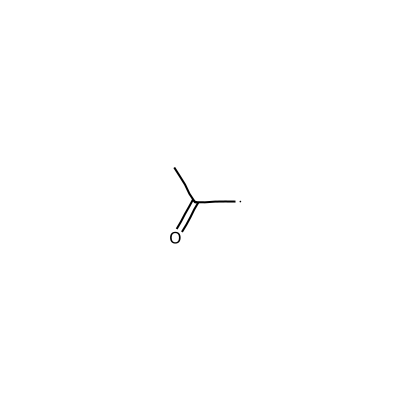 [CH2]C(C)=O